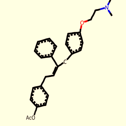 CC(=O)Oc1ccc(C/C=C(/Cc2ccc(OCCN(C)C)cc2)c2ccccc2)cc1